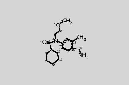 COCCN(C(=O)C1CCCCC1)c1ccc(CN)c(C)c1